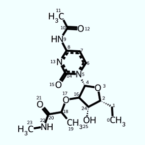 CC[C@H]1O[C@@H](n2ccc(NC(C)=O)nc2=O)C(OC(C)C(=O)NC)[C@H]1O